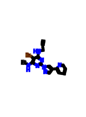 C#CCNc1nc(-n2cc(-c3ccccn3)cn2)nc(NCC)c1Br